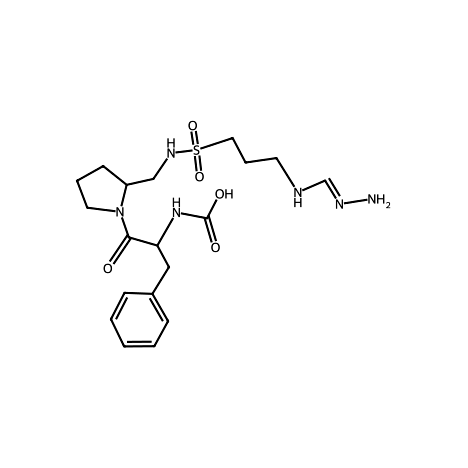 NN=CNCCCS(=O)(=O)NCC1CCCN1C(=O)C(Cc1ccccc1)NC(=O)O